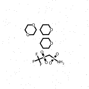 C1CCOCC1.C1CCOCC1.C1COCCO1.NS(=O)(=O)CS(=O)(=O)C(F)(F)F